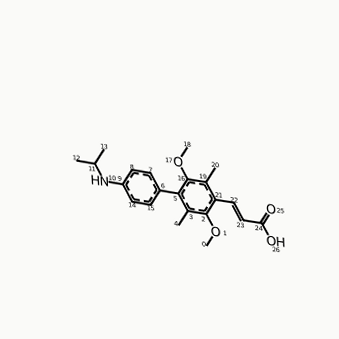 COc1c(C)c(-c2ccc(NC(C)C)cc2)c(OC)c(C)c1/C=C/C(=O)O